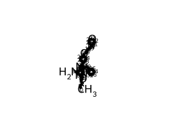 CCCCOc1nc(N)c2nc(-c3ccc(OCCCN4CCOCC4)cc3)n(Cc3ccccc3)c2n1